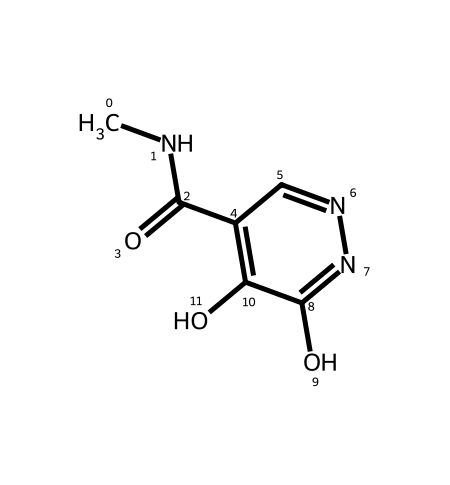 CNC(=O)c1cnnc(O)c1O